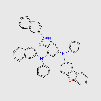 c1ccc(N(c2cc(N(c3ccccc3)c3ccc4ccccc4c3)c3oc(-c4ccc5ccccc5c4)nc3c2)c2ccc3oc4ccccc4c3c2)cc1